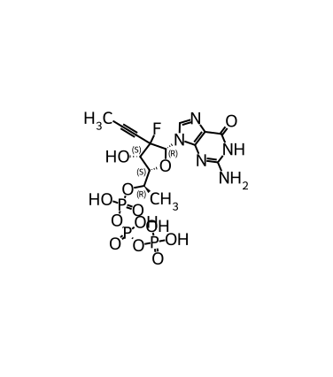 CC#CC1(F)[C@@H](O)[C@@H]([C@@H](C)OP(=O)(O)OP(=O)(O)OP(=O)(O)O)O[C@H]1n1cnc2c(=O)[nH]c(N)nc21